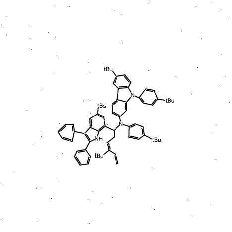 C=C/C(=C\CC(c1cc(C(C)(C)C)cc2c(-c3ccccc3)c(-c3ccccc3)[nH]c12)N(c1ccc(C(C)(C)C)cc1)c1ccc2c3cc(C(C)(C)C)ccc3n(-c3ccc(C(C)(C)C)cc3)c2c1)C(C)(C)C